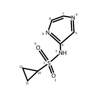 O=S(=O)(Nc1cnccn1)C1CC1